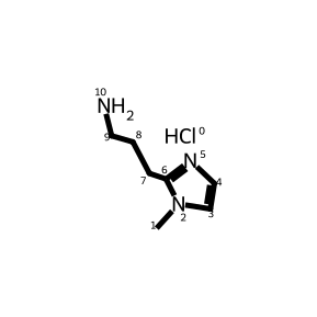 Cl.Cn1ccnc1CCCN